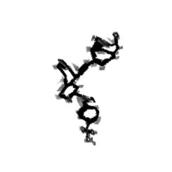 CS(=O)(=O)c1ccc(Nc2cc3c(C#Cc4ccc5c(c4)NC(=O)C5)nccc3cn2)cc1